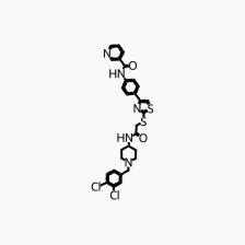 O=C(CSc1nc(-c2ccc(NC(=O)c3cccnc3)cc2)cs1)NC1CCN(Cc2ccc(Cl)c(Cl)c2)CC1